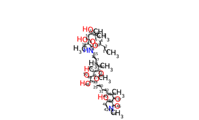 C/C=C/C=C/[C@@H]1O[C@](O)([C@H](CC)C(=O)NC/C=C/C=C(\C)[C@@H](OC)[C@@H](C)[C@@H]2O[C@H](/C=C/C=C/C=C(\C)C(=O)c3c(O)ccn(C)c3=O)[C@H](O)[C@@H]2O)C[C@H](O)C1(C)C